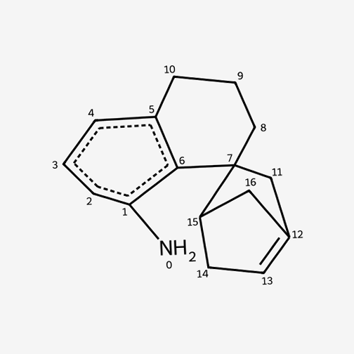 Nc1cccc2c1C1(CCC2)CC2=CCC1C2